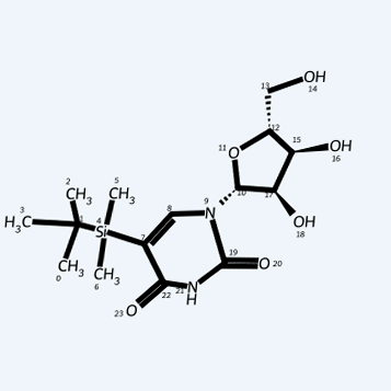 CC(C)(C)[Si](C)(C)c1cn([C@@H]2O[C@H](CO)[C@@H](O)[C@H]2O)c(=O)[nH]c1=O